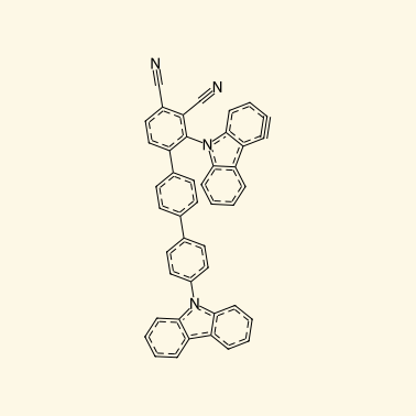 N#Cc1ccc(-c2ccc(-c3ccc(-n4c5ccccc5c5ccccc54)cc3)cc2)c(-n2c3ccc#cc3c3ccccc32)c1C#N